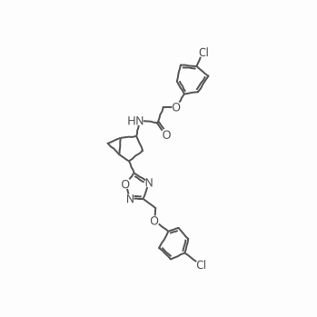 O=C(COc1ccc(Cl)cc1)NC1CC(c2nc(COc3ccc(Cl)cc3)no2)C2CC12